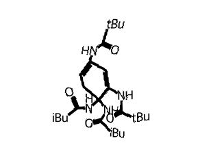 CCC(C)C(=O)NC1(NC(=O)C(C)CC)CC=C(NC(=O)C(C)(C)C)C=C1NC(=O)C(C)(C)C